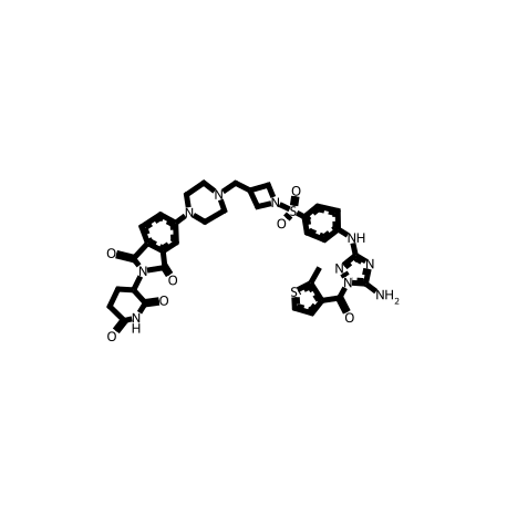 Cc1sccc1C(=O)n1nc(Nc2ccc(S(=O)(=O)N3CC(CN4CCN(c5ccc6c(c5)C(=O)N(C5CCC(=O)NC5=O)C6=O)CC4)C3)cc2)nc1N